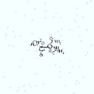 CC(Oc1ccc(Cl)cc1-c1cc(C(N)=O)c(NC(N)=O)[nH]1)N1CCN(C)CC1